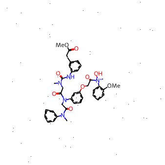 COC(=O)Cc1cccc(NC(=O)N(C)CC(=O)N(CC(=O)N(C)c2ccccc2)c2cccc(OCC(=O)[N+](C)(O)c3ccccc3OC)c2)c1